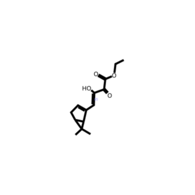 CCOC(=O)C(=O)/C(O)=C/C1=CCC2C1C2(C)C